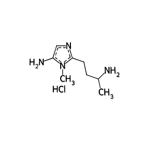 CC(N)CCc1ncc(N)n1C.Cl